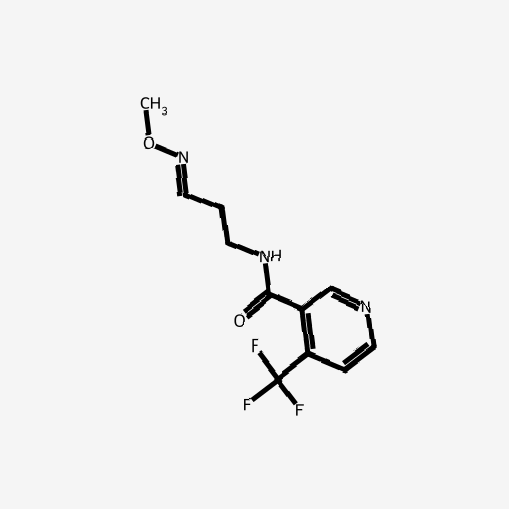 CON=CCCNC(=O)c1cnccc1C(F)(F)F